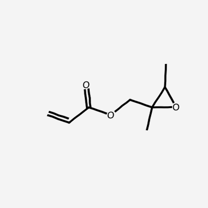 C=CC(=O)OCC1(C)OC1C